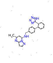 Cc1cc(NCc2ccc(-c3ccccc3-c3nnn[nH]3)cc2)n2nccc2n1